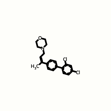 C/C(=C/CN1CCOCC1)c1ccc(-c2ccc(Cl)cc2Cl)cc1